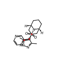 Cc1n[nH]c(C)c1S(=O)(=O)N1[C@@H]2CCC[C@H]1C[C@H](Oc1cnccn1)C2